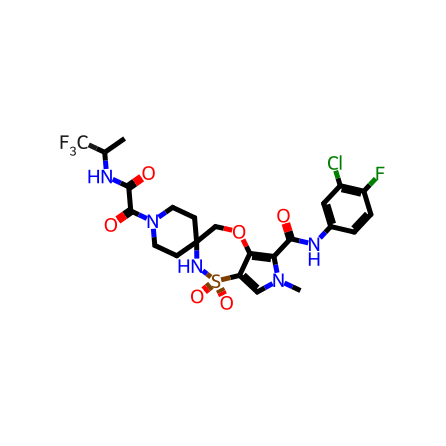 CC(NC(=O)C(=O)N1CCC2(CC1)COc1c(cn(C)c1C(=O)Nc1ccc(F)c(Cl)c1)S(=O)(=O)N2)C(F)(F)F